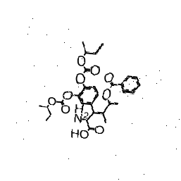 CCC(C)OC(=O)Oc1ccc(C(C(C)C(C)OC(=O)c2ccccc2)[C@H](N)C(=O)O)cc1OC(=O)OC(C)CC